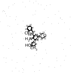 C[C@]1(O)CCN(c2nc(N3CCOCC3)nc(NCc3ccccc3C(F)(F)F)c2N)C1